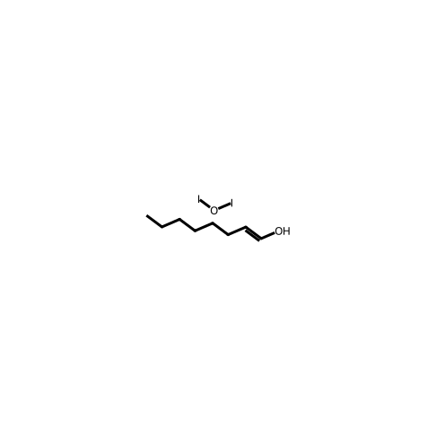 CCCCCC/C=C/O.IOI